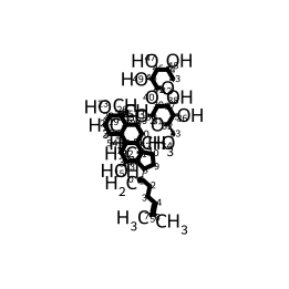 C=C(CCC=C(C)C)[C@H]1CC[C@]2(C)[C@@H]1[C@H](O)C[C@@H]1[C@@]3(C)CC[C@H](O)C(C)(C)[C@@H]3[C@@H](O[C@@H]3O[C@H](CO)[C@@H](O)[C@H](O)[C@H]3O[C@@H]3OC[C@@H](O)[C@H](O)[C@H]3O)C[C@]12C